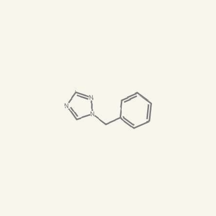 [c]1ncn(Cc2ccccc2)n1